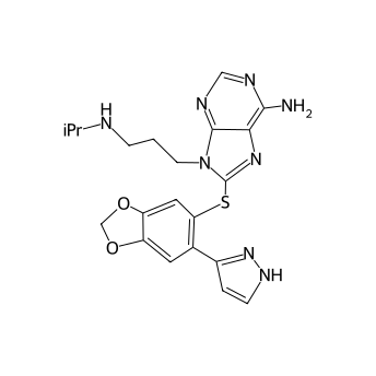 CC(C)NCCCn1c(Sc2cc3c(cc2-c2cc[nH]n2)OCO3)nc2c(N)ncnc21